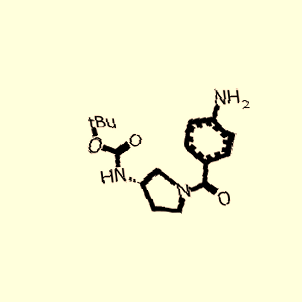 CC(C)(C)OC(=O)N[C@H]1CCN(C(=O)c2ccc(N)cc2)C1